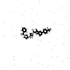 Cc1c(C(=O)N2CC(N[C@H]3CCN(C(=O)c4ccccc4)C3)C2)sc2ccc(-c3ccc(C(F)(F)F)cc3)cc12